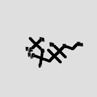 CCC(C)COC(C)(CC)C(C)(C)CC(F)(OC(C)(CC)C(F)(F)F)C(F)(F)F